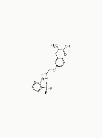 CC(Cc1cccc(OCC2CN(c3ncccc3C(F)(F)F)C2)c1)C(=O)O